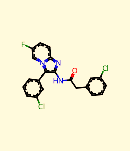 O=C(Cc1cccc(Cl)c1)Nc1nc2ccc(F)cn2c1-c1cccc(Cl)c1